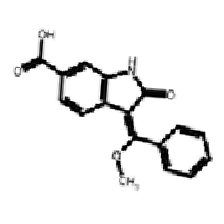 COC(=C1C(=O)Nc2cc(C(=O)O)ccc21)c1ccccc1